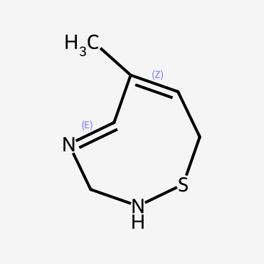 CC1=C/CSNC\N=C\1